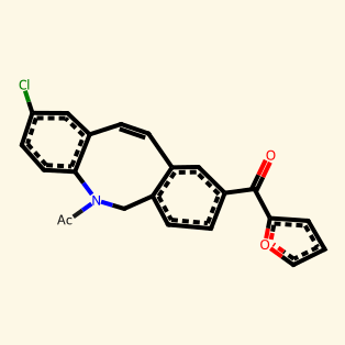 CC(=O)N1Cc2ccc(C(=O)c3ccco3)cc2C=Cc2cc(Cl)ccc21